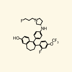 Oc1ccc2c(c1)CCCC(c1ccc(OC(F)(F)F)cc1F)=C2c1ccc(N[C@H]2CCN(CCCF)C2)cc1